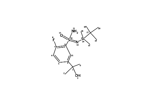 CC(C)(O)c1ccc(F)c(S(N)(=O)=N[Si](C)(C)C(C)(C)C)c1